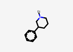 CCN1CCCC(c2ccccc2)C1